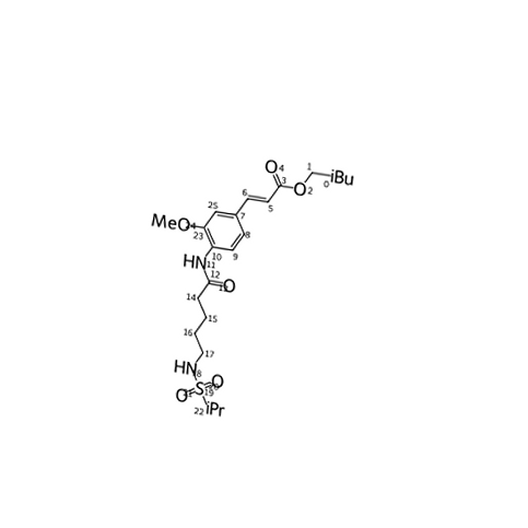 CCC(C)COC(=O)/C=C/c1ccc(NC(=O)CCCCNS(=O)(=O)C(C)C)c(OC)c1